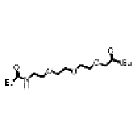 CCC(=O)NCCOCCOCCOCC(=O)C(C)(C)C